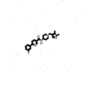 Cc1c(CN2CCC(NC(=O)c3ccc(-c4cccc(F)c4)nc3)CC2)cnn1C